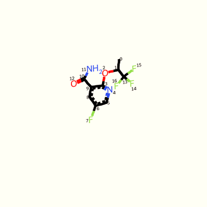 CC(Oc1ncc(F)cc1C(N)=O)C(F)(F)F